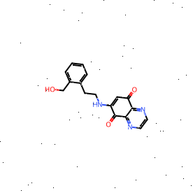 O=C1C=C(NCCc2ccccc2CO)C(=O)c2nccnc21